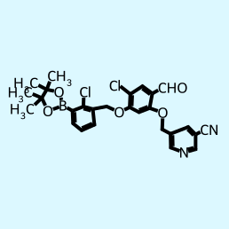 CC1(C)OB(c2cccc(COc3cc(OCc4cncc(C#N)c4)c(C=O)cc3Cl)c2Cl)OC1(C)C